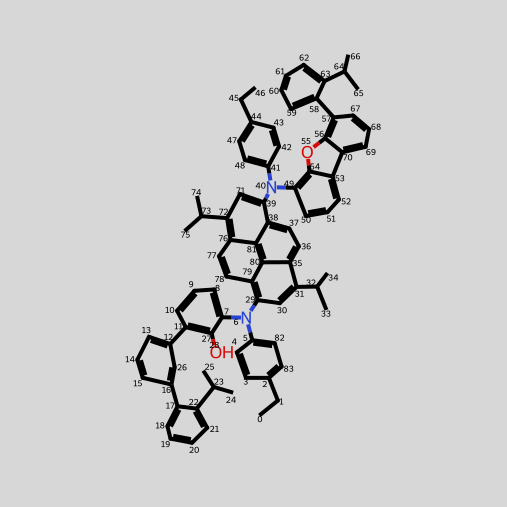 CCc1ccc(N(c2cccc(-c3cccc(-c4ccccc4C(C)C)c3)c2O)c2cc(C(C)C)c3ccc4c(N(c5ccc(CC)cc5)c5cccc6c5oc5c(-c7ccccc7C(C)C)cccc56)cc(C(C)C)c5ccc2c3c54)cc1